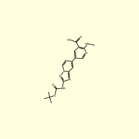 CNc1ncc(-c2ccn3nc(NC(=O)OC(C)(C)C)nc3c2)cc1C(=O)O